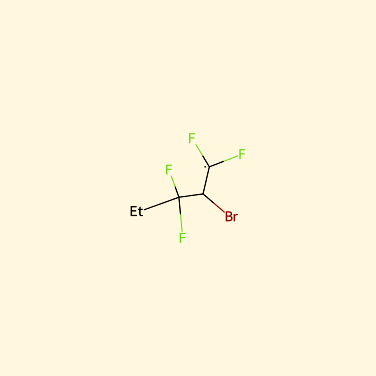 CCC(F)(F)C(Br)[C](F)F